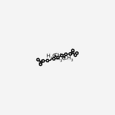 CC1(C)c2cc(/C=C/c3ccc(-c4ccc5c(c4)c4ccccc4n5-c4ccccc4)cc3)ccc2-c2ccc(-c3ccc4c(c3)C(C)(C)c3cc(-c5ccc6c(c5)c5ccccc5n6-c5cccc6ccccc56)ccc3-4)cc21